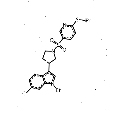 CCn1cc(C2CCN(S(=O)(=O)c3ccc(SC(C)C)nc3)C2)c2ccc(Cl)cc21